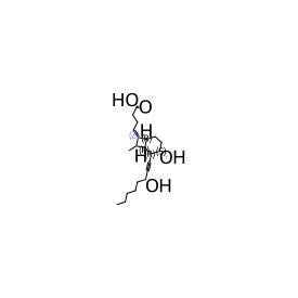 CCCCCC(O)C#C[C@H]1[C@@H]2C(C)/C(=C/CCC(=O)O)[C@@H]2CC[C@@H]1O